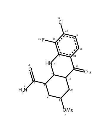 COC1CC(C(N)=O)C2Nc3c(ccc(Cl)c3F)C(=O)C2C1